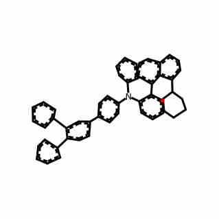 c1ccc(-c2ccc(-c3ccc(N(c4ccccc4)c4ccccc4-c4cccc5cccc(C6CCCCC6)c45)cc3)cc2-c2ccccc2)cc1